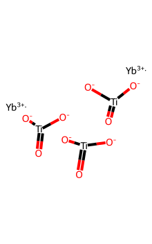 [O]=[Ti]([O-])[O-].[O]=[Ti]([O-])[O-].[O]=[Ti]([O-])[O-].[Yb+3].[Yb+3]